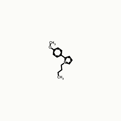 CCCCn1cccc1-c1ccc(OC)cc1